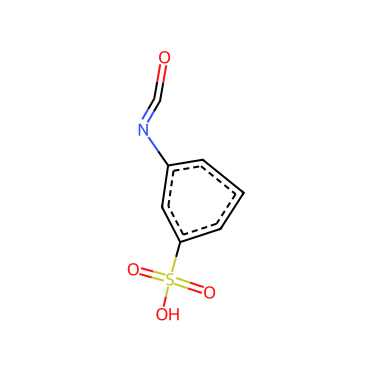 O=C=Nc1cccc(S(=O)(=O)O)c1